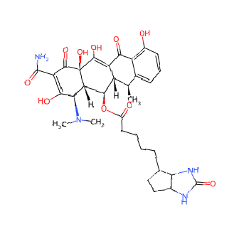 C[C@@H]1c2cccc(O)c2C(=O)C2=C(O)[C@@]3(O)C(=O)C(C(N)=O)=C(O)[C@H](N(C)C)[C@H]3[C@H](OC(=O)CCCCC3CCC4NC(=O)NC34)[C@H]21